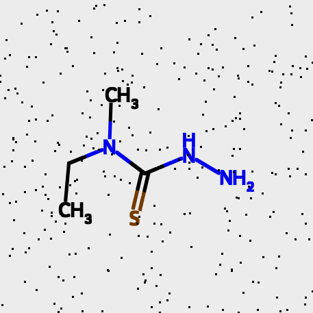 CCN(C)C(=S)NN